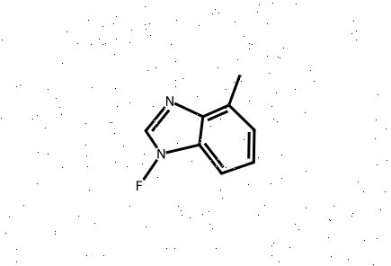 Cc1cccc2c1ncn2F